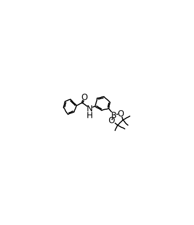 CC1(C)OB(c2cccc(NC(=O)c3ccccc3)c2)OC1(C)C